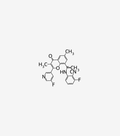 Cc1cc([C@@H](C)Nc2cccc(F)c2C#N)c2oc(-c3cncc(F)c3)c(C)c(=O)c2c1